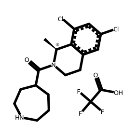 C[C@H]1c2c(Cl)cc(Cl)cc2CCN1C(=O)C1CCCNCC1.O=C(O)C(F)(F)F